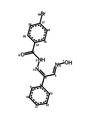 O=C(NN=C(C=NO)c1ccccc1)c1ccc(Br)cc1